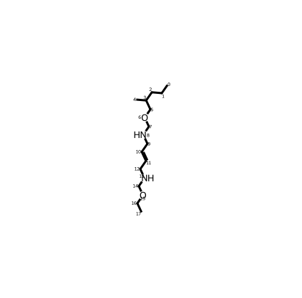 CCCC(C)COCNCC=CCNCOCC